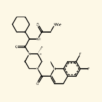 CNCC(=O)NC(C(=O)N1CCN(C(=O)C2=CCc3cc(F)c(F)cc3N2C)C[C@H]1C)C1CCCCC1